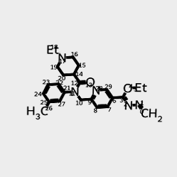 C=N/N=C(\OCC)c1ccc(CN(C(=O)C2CCN(CC)CC2)c2cccc(C)c2)nc1